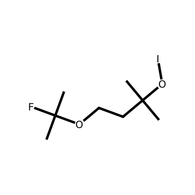 CC(C)(F)OCCC(C)(C)OI